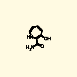 NC(=O)C1=C(O)C=CC=CN1